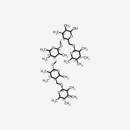 CC1O[C@@H](OC[C@@H]2C(C)O[C@@H](OC[C@H]3C(C)[C@H](OC[C@H]4C(CO[C@@H]5OC(C)[C@H](C)[C@@H](C)C5C)OC(O)C(C)[C@@H]4C)OC(C)[C@@H]3C)C(C)[C@H]2C)C(C)[C@@H](C)[C@@H]1C